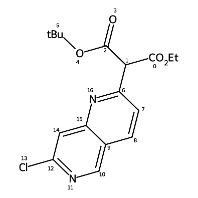 CCOC(=O)C(C(=O)OC(C)(C)C)c1ccc2cnc(Cl)cc2n1